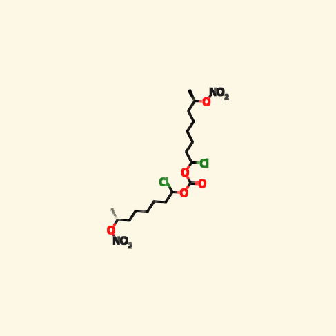 C[C@H](CCCCCC(Cl)OC(=O)OC(Cl)CCCCC[C@@H](C)O[N+](=O)[O-])O[N+](=O)[O-]